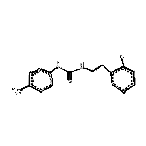 Nc1ccc(NC(=S)NCCc2ccccc2Cl)cc1